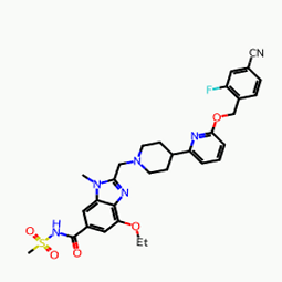 CCOc1cc(C(=O)NS(C)(=O)=O)cc2c1nc(CN1CCC(c3cccc(OCc4ccc(C#N)cc4F)n3)CC1)n2C